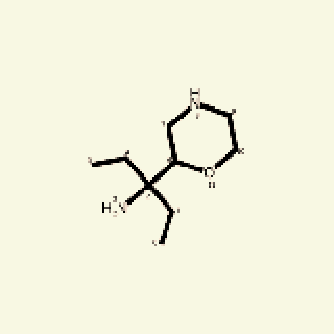 CCC(N)(CC)C1CNCCO1